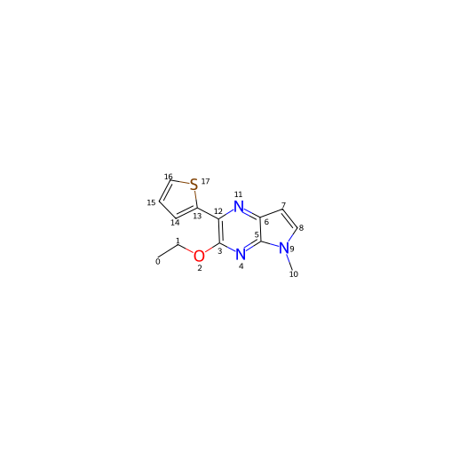 CCOc1nc2c(ccn2C)nc1-c1cccs1